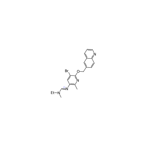 CCN(C)/C=N/c1cc(Br)c(OCc2ccc3ncccc3c2)nc1C